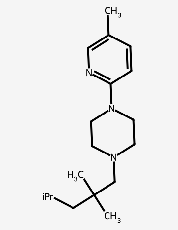 Cc1ccc(N2CCN(CC(C)(C)CC(C)C)CC2)nc1